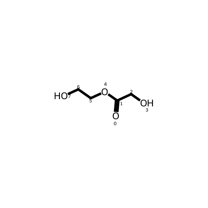 O=C(CO)OCCO